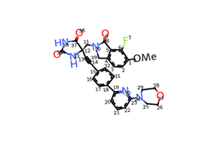 COc1ccc2c(c1F)C(=O)N(C[C@@]1(C#Cc3ccc(-c4cccc(N5CCOCC5)n4)cc3)NC(=O)NC1=O)C2